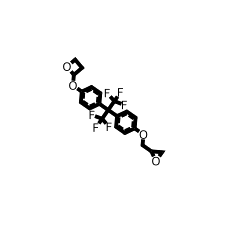 FC(F)(F)C(c1ccc(OCC2CO2)cc1)(c1ccc(OC2CCO2)cc1)C(F)(F)F